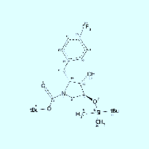 CC(C)(C)OC(=O)N1C[C@H](O[Si](C)(C)C(C)(C)C)[C@@H](O)[C@H]1Cc1ccc(C(F)(F)F)cc1